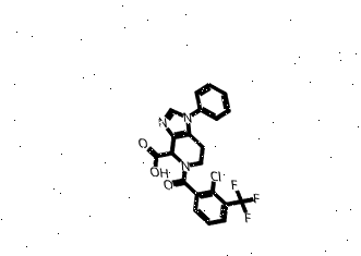 O=C(O)C1c2ncn(-c3ccccc3)c2CCN1C(=O)c1cccc(C(F)(F)F)c1Cl